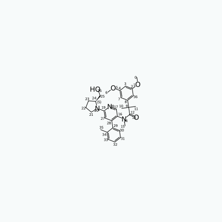 COc1cc(OC)cc(C(C)(C)C(=O)N(C)c2cnc(N3CCC[C@H]3CO)cc2-c2ccccc2C)c1